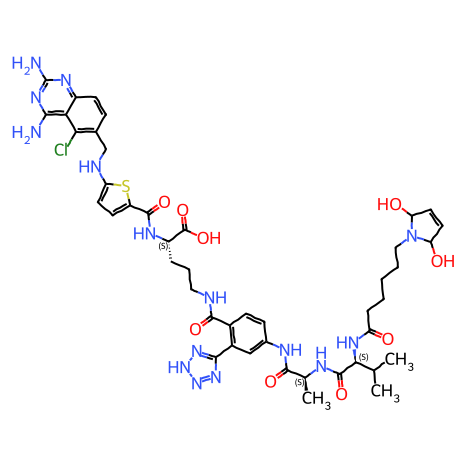 CC(C)[C@H](NC(=O)CCCCCN1C(O)C=CC1O)C(=O)N[C@@H](C)C(=O)Nc1ccc(C(=O)NCCC[C@H](NC(=O)c2ccc(NCc3ccc4nc(N)nc(N)c4c3Cl)s2)C(=O)O)c(-c2nn[nH]n2)c1